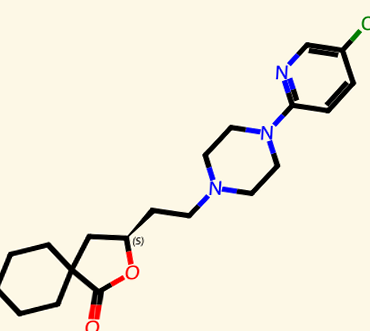 O=C1O[C@H](CCN2CCN(c3ccc(Cl)cn3)CC2)CC12CCCCC2